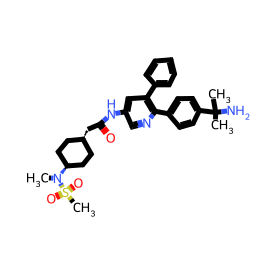 CN([C@H]1CC[C@H](CC(=O)Nc2cnc(-c3ccc(C(C)(C)N)cc3)c(-c3ccccc3)c2)CC1)S(C)(=O)=O